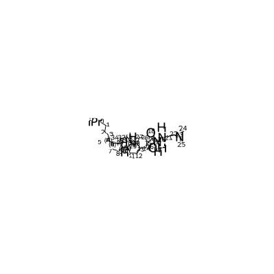 CC(C)CCC[C@@H](C)[C@H]1CC[C@H]2[C@@H]3CC=C4CC(O)(C(=O)NNCCN(C)C)CC[C@]4(C)[C@H]3CC[C@]12C